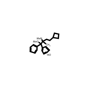 CNC(C)(CCC1CCC1)C(OC)(c1ccccc1)c1ccccc1.Cl